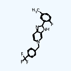 Cc1ccc(F)c(C2N=C3C=CN(Cc4ccc(C(F)(F)F)cc4)C=C3N2)c1